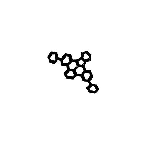 c1ccc(-c2ccc3c(c2)-c2cccc4c2B2N3c3nccnc3N2c2ccc(-c3ccccc3)cc2-4)cc1